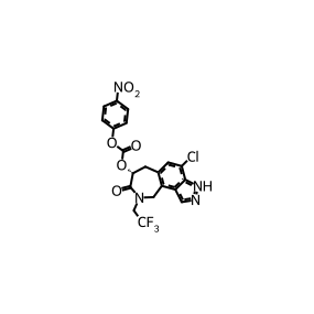 O=C(Oc1ccc([N+](=O)[O-])cc1)O[C@@H]1Cc2cc(Cl)c3[nH]ncc3c2CN(CC(F)(F)F)C1=O